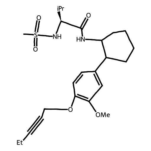 CCC#CCOc1ccc(C2CCCCC2NC(=O)[C@@H](NS(C)(=O)=O)C(C)C)cc1OC